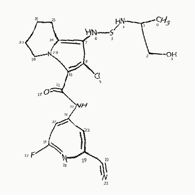 CC(CO)NSNc1c(Cl)c(C(=O)Nc2cc(F)nc(C#N)c2)n2c1CCCC2